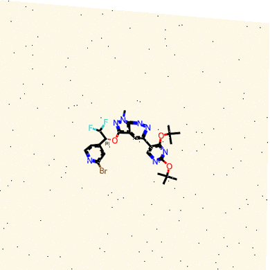 Cn1nc(O[C@H](c2ccnc(Br)c2)C(F)F)c2cc(-c3cnc(OC(C)(C)C)nc3OC(C)(C)C)nnc21